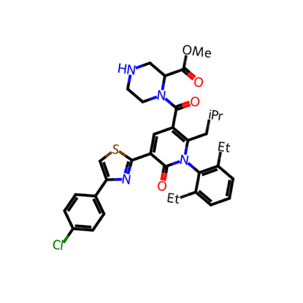 CCc1cccc(CC)c1-n1c(CC(C)C)c(C(=O)N2CCNCC2C(=O)OC)cc(-c2nc(-c3ccc(Cl)cc3)cs2)c1=O